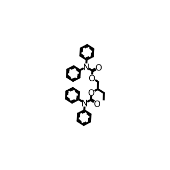 CCC(COC(=O)N(c1ccccc1)c1ccccc1)OC(=O)N(c1ccccc1)c1ccccc1